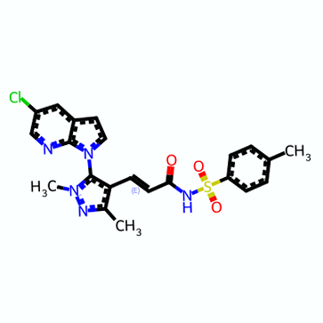 Cc1ccc(S(=O)(=O)NC(=O)/C=C/c2c(C)nn(C)c2-n2ccc3cc(Cl)cnc32)cc1